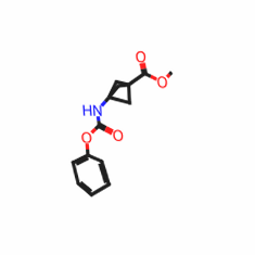 COC(=O)C12CC(NC(=O)Oc3ccccc3)(C1)C2